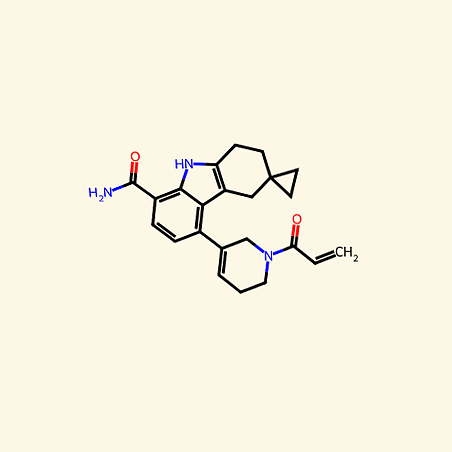 C=CC(=O)N1CCC=C(c2ccc(C(N)=O)c3[nH]c4c(c23)CC2(CC4)CC2)C1